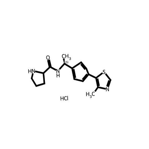 Cc1ncsc1-c1ccc([C@H](C)NC(=O)C2CCCN2)cc1.Cl